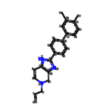 C=CCN1C=Cc2[nH]c(-c3ccc(-c4ccc(C)c(C)c4)cc3)nc2C1